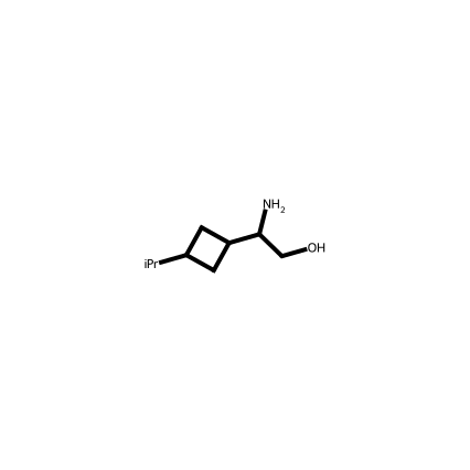 CC(C)C1CC(C(N)CO)C1